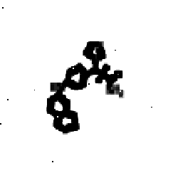 CC(C)(C(N)=O)C(c1ccc(Nc2ccc3ccccc3c2)cc1)n1ccnc1